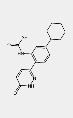 O=C(S)Nc1cc(C2CCCCC2)ccc1-c1ccc(=O)[nH]n1